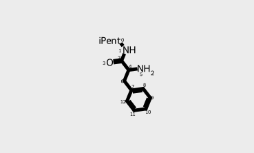 [CH2]CCC([CH2])NC(=O)C(N)Cc1ccccc1